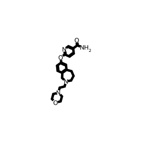 NC(=O)c1ccc(Oc2ccc3c(c2)CCCN(CCN2CCOCC2)C3)nc1